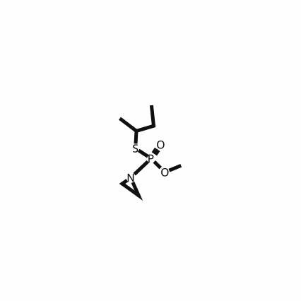 CCC(C)SP(=O)(OC)N1CC1